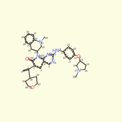 C=C(c1cc2cnc(Nc3ccc(OC4CCN(C)C4)cc3)nc2n(C2Cc3ccccc3N(C)C2)c1=O)C1CCOCC1